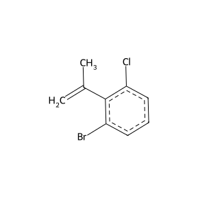 C=C(C)c1c(Cl)cccc1Br